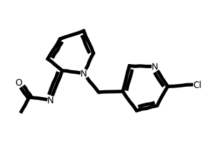 CC(=O)/N=c1\ccccn1Cc1ccc(Cl)nc1